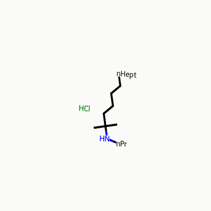 CCCCCCCCCCCC(C)(C)NCCC.Cl